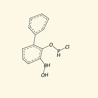 OBc1cccc(-c2ccccc2)c1OPCl